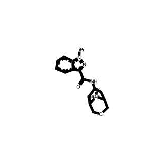 CCCC[N+]1([O-])C2COCC1CC(NC(=O)c1nn(C(C)C)c3ccccc13)C2